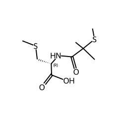 CSC[C@H](NC(=O)C(C)(C)SC)C(=O)O